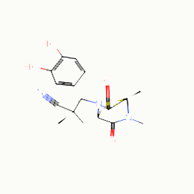 CN1C(=O)[C@@]23C[C@](C)(C#N)[C@H](c4ccc(O)c(O)c4)N2C(=O)[C@]1(C)SS3